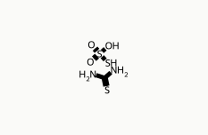 NC(N)=S.O=S(=O)(O)S